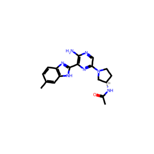 CC(=O)N[C@H]1CCN(c2cnc(N)c(-c3nc4ccc(C)cc4[nH]3)n2)C1